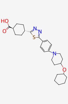 O=C(O)[C@H]1CC[C@H](c2nnc(-c3ccc(N4CCC(OC5CCCCC5)CC4)cc3)s2)CC1